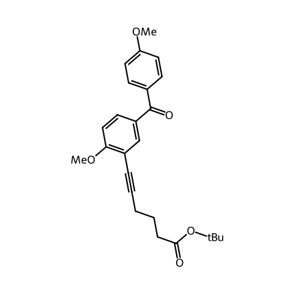 COc1ccc(C(=O)c2ccc(OC)c(C#CCCCC(=O)OC(C)(C)C)c2)cc1